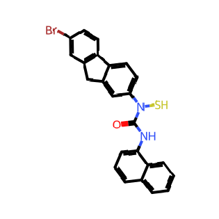 O=C(Nc1cccc2ccccc12)N(S)c1ccc2c(c1)Cc1cc(Br)ccc1-2